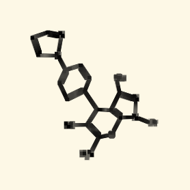 CC(C)n1nc(C(C)(C)C)c2c1OC(N)=C(C#N)C2c1ccc(-n2cccn2)cc1